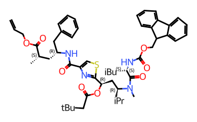 C=CCOC(=O)[C@@H](C)C[C@H](Cc1ccccc1)NC(=O)c1csc([C@@H](C[C@H](C(C)C)N(C)C(=O)[C@@H](NC(=O)OCC2c3ccccc3-c3ccccc32)[C@@H](C)CC)OC(=O)CC(C)(C)C)n1